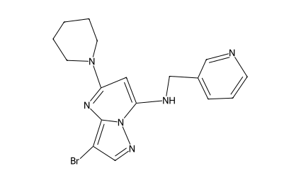 Brc1cnn2c(NCc3cccnc3)cc(N3CCCCC3)nc12